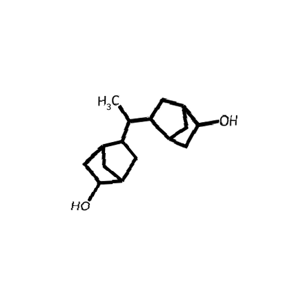 C[C](C1CC2CC1CC2O)C1CC2CC1CC2O